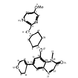 COc1cnc(O[C@H]2CC[C@@H](Oc3cc(C4=CCOCC4)cc4ncc(=O)n(C)c34)CC2)nc1